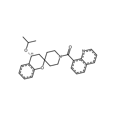 CC(C)O[C@@H]1CC2(CCN(C(=O)c3cccc4cccnc34)CC2)Oc2ccccc21